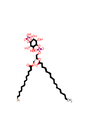 CCCCCCCCCCCCCCCC(=O)O[C@H](COC(=O)CCCCCCCCCCCCS)COP(=O)(O)OC1C(O)[C@H](O)C(OP(=O)(O)O)[C@H](O)[C@@H]1O